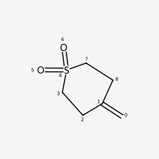 C=C1CCS(=O)(=O)CC1